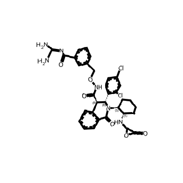 NC(N)=NC(=O)c1cccc(CONC(=O)[C@@H]2c3ccccc3C(=O)N([C@H]3CCCC[C@@H]3NC3OC3=O)[C@H]2c2ccc(Cl)cc2Cl)c1